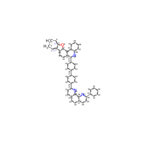 C/C=c1\c(=C/C)oc2c1ccc1c(-c3ccc(-c4ccc(-c5ccc6ccc7ccc(-c8ccccc8)nc7c6n5)cc4)cc3)nc3ccccc3c12